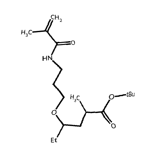 C=C(C)C(=O)NCCCOC(CC)CC(C)C(=O)OC(C)(C)C